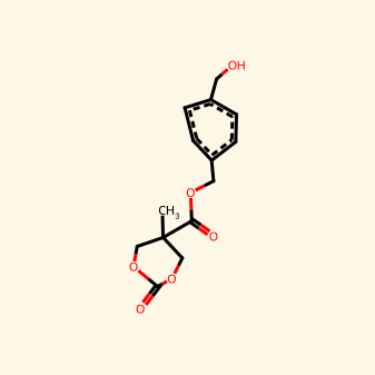 CC1(C(=O)OCc2ccc(CO)cc2)COC(=O)OC1